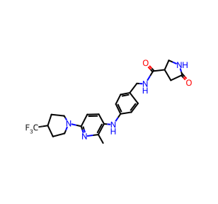 Cc1nc(N2CCC(C(F)(F)F)CC2)ccc1Nc1ccc(CNC(=O)C2CNC(=O)C2)cc1